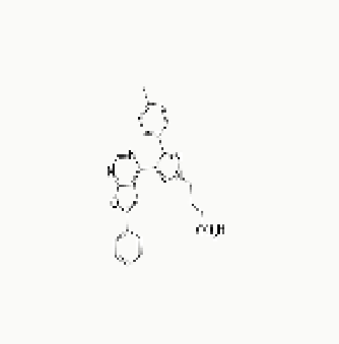 Cc1ccc(-c2nn(CCCC(=O)O)cc2-c2ncnc3oc(-c4ccccc4)cc23)cc1